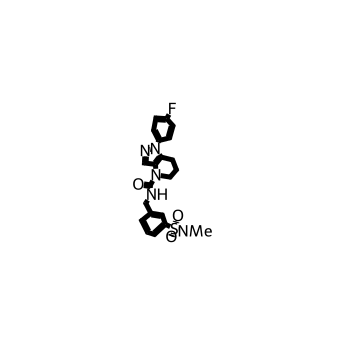 CNS(=O)(=O)c1cccc(CNC(=O)N2CCCc3c2cnn3-c2ccc(F)cc2)c1